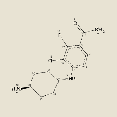 NC(=O)c1ccc(N[C@H]2CC[C@H](N)CC2)c(Cl)c1F